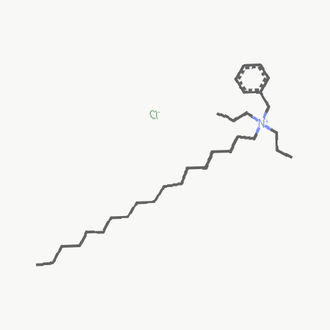 CCCCCCCCCCCCCCCCCC[N+](CCC)(CCC)Cc1ccccc1.[Cl-]